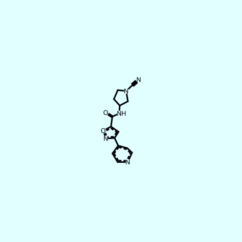 N#CN1CCC(NC(=O)c2cc(-c3ccncc3)no2)C1